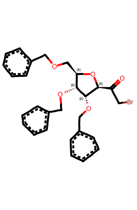 O=C(CBr)[C@@H]1O[C@H](COCc2ccccc2)[C@@H](OCc2ccccc2)[C@H]1OCc1ccccc1